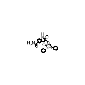 NC(=O)c1ccc2[nH]c(=O)c(CN(CCc3ccccc3)C(=O)Nc3ccccc3)cc2c1